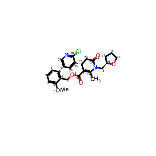 COc1ccccc1COC(=O)C1=C(C)N(C[C@H]2CCCO2)C(=O)C[C@H]1c1cccnc1Cl